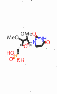 COC1C(OC)[C@@H](CCP(=O)(O)O)O[C@H]1n1ccc(=O)[nH]c1=O